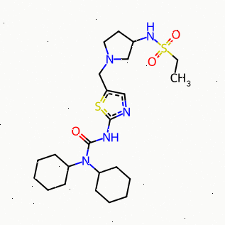 CCS(=O)(=O)NC1CCN(Cc2cnc(NC(=O)N(C3CCCCC3)C3CCCCC3)s2)C1